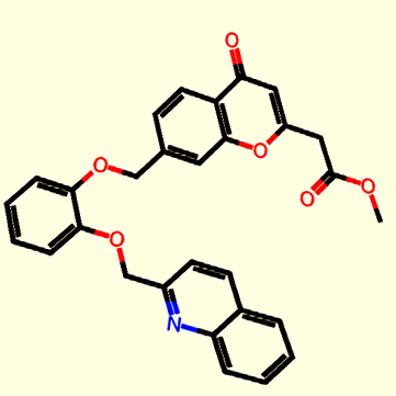 COC(=O)Cc1cc(=O)c2ccc(COc3ccccc3OCc3ccc4ccccc4n3)cc2o1